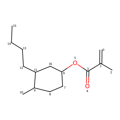 C=C(C)C(=O)OC1CCC(C)C(CCCC)C1